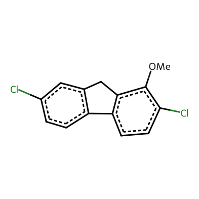 COc1c(Cl)ccc2c1Cc1cc(Cl)ccc1-2